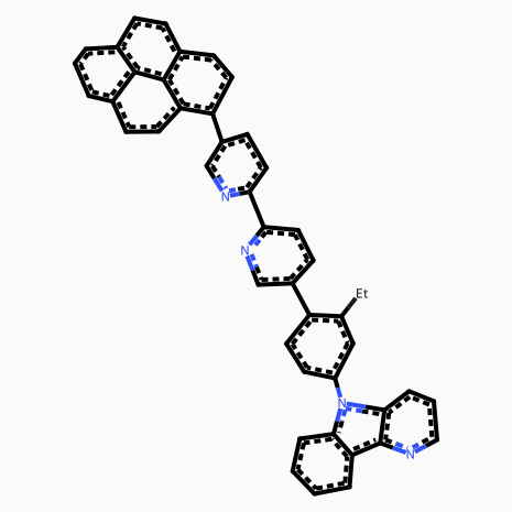 CCc1cc(-n2c3ccccc3c3ncccc32)ccc1-c1ccc(-c2ccc(-c3ccc4ccc5cccc6ccc3c4c56)cn2)nc1